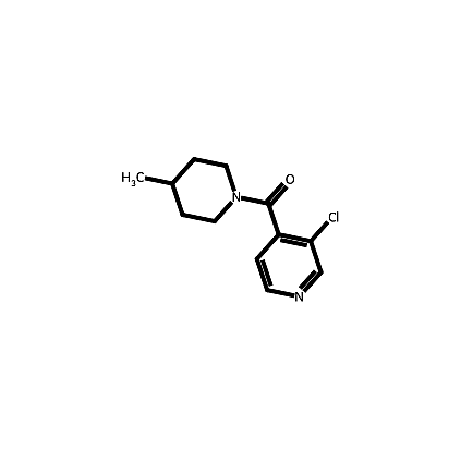 CC1CCN(C(=O)c2ccncc2Cl)CC1